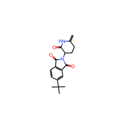 C=C1CCC(N2C(=O)c3ccc(C(C)(C)C)cc3C2=O)C(=O)N1